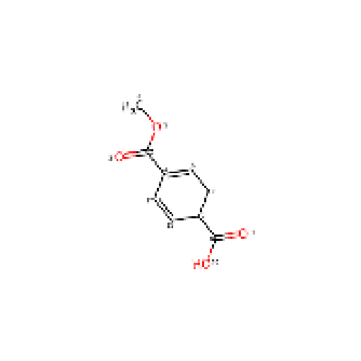 COC(=O)C1=CCC(C(=O)O)C=C1